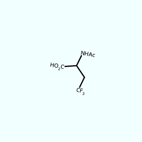 CC(=O)NC(CC(F)(F)F)C(=O)O